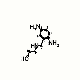 Nc1ccc(N)c(CNCCO)c1